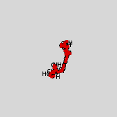 CN[C@@H](C)C(=O)N[C@H](C(=O)N1CCC[C@H]1c1nc(-c2ccc(OCCOCCOCCOCCOCCN(C)C(=O)CCNc3nc(N4CCN(C(N)=O)CC4)c4cc(Cl)c(-c5cc(O)cc6ccccc56)c(F)c4n3)c3ccccc23)cs1)C1CCCCC1